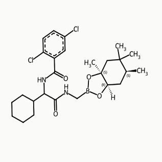 C[C@H]1C[C@H]2OB(CNC(=O)C(NC(=O)c3cc(Cl)ccc3Cl)C3CCCCC3)O[C@@]2(C)CC1(C)C